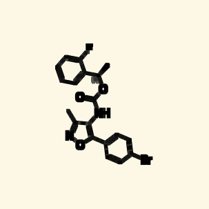 Cc1noc(-c2ccc(Br)cc2)c1NC(=O)O[C@H](C)c1ccccc1F